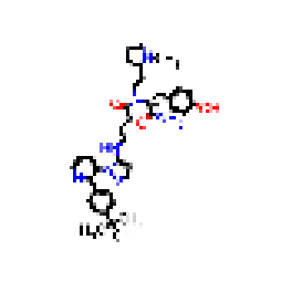 CN1CCCC1CCN(C(=O)CCCNc1ccnn1-c1cccnc1-c1ccc(C(C)(C)C)cc1)[C@@H](Cc1ccc(O)cc1)C(N)=O